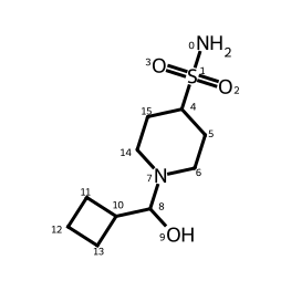 NS(=O)(=O)C1CCN(C(O)C2CCC2)CC1